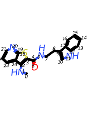 CNc1c(C(=O)NCCc2c[nH]c3ccccc23)sc2ncccc12